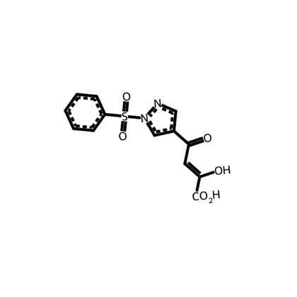 O=C(O)C(O)=CC(=O)c1cnn(S(=O)(=O)c2ccccc2)c1